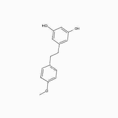 COc1ccc(CCc2cc(O)cc(O)c2)cc1